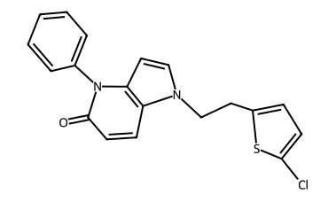 O=c1ccc2c(ccn2CCc2ccc(Cl)s2)n1-c1ccccc1